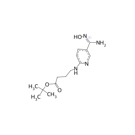 CC(C)(C)OC(=O)CCCNc1ccc(/C(N)=N\O)cn1